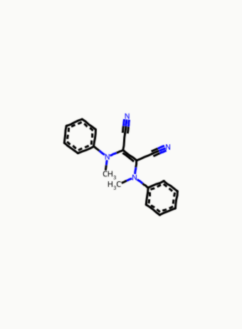 CN(/C(C#N)=C(/C#N)N(C)c1ccccc1)c1ccccc1